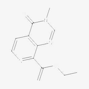 C=C(OCC)c1nccc2c(=O)n(C)cnc12